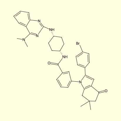 CN(C)c1nc(N[C@H]2CC[C@@H](NC(=O)c3cccc(-n4c(-c5ccc(Br)cc5)cc5c4CC(C)(C)CC5=O)c3)CC2)nc2ccccc12